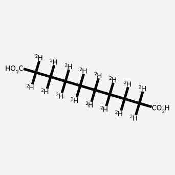 [2H]C([2H])(C(=O)O)C([2H])([2H])C([2H])([2H])C([2H])([2H])C([2H])([2H])C([2H])([2H])C([2H])([2H])C([2H])([2H])C(=O)O